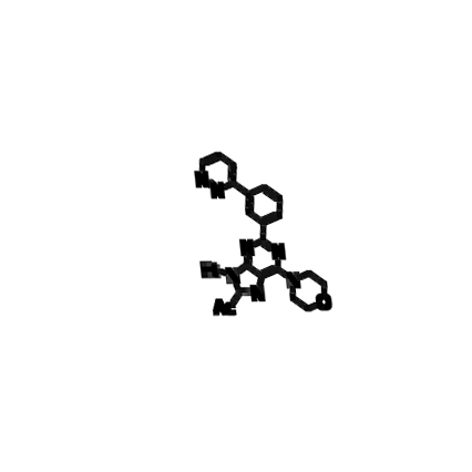 CCn1c(C(C)=O)nc2c(N3CCOCC3)nc(-c3cccc(-c4cccnn4)c3)nc21